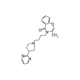 CC1=COc2ccccc2C(=O)N1CCCCN1CCC(c2ncccn2)CC1